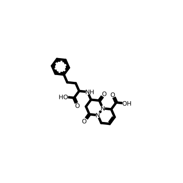 O=C(O)C(CCc1ccccc1)NC1CC(=O)N2CC=CC(C(=O)O)N2C1=O